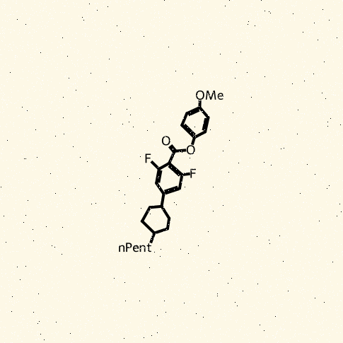 CCCCCC1CCC(c2cc(F)c(C(=O)Oc3ccc(OC)cc3)c(F)c2)CC1